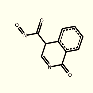 O=NC(=O)C1C=NC(=O)c2ccccc21